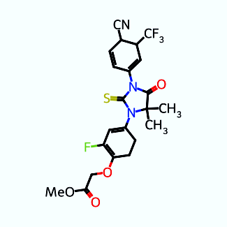 COC(=O)COC1=C(F)C=C(N2C(=S)N(C3=CC(C(F)(F)F)C(C#N)C=C3)C(=O)C2(C)C)CC1